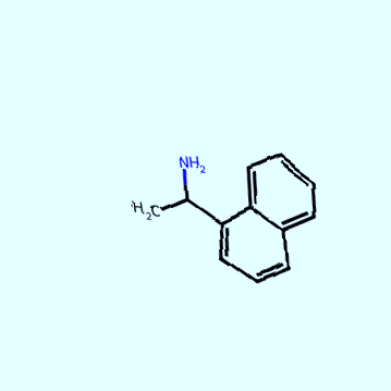 [CH2]C(N)c1cccc2ccccc12